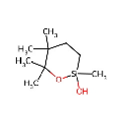 CC1(C)CC[Si](C)(O)OC1(C)C